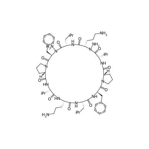 CC(C)C[C@@H]1NC(=O)[C@H](CCCN)NC(=O)[C@H](C(C)C)NC(=O)[C@@H]2CCCN2C(=O)[C@@H](Cc2ccccc2)N(N)C(=O)[C@H](CC(C)C)NC(=O)[C@H](CCCN)N(N)C(=O)[C@H](C(C)C)NC(=O)[C@@H]2CCCN2C(=O)[C@@H](Cc2ccccc2)NC1=O